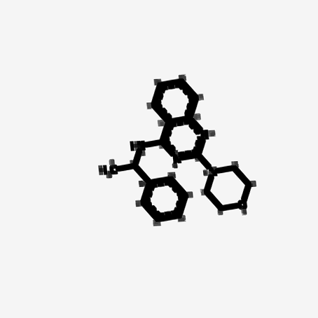 CC(Nc1nc(N2CCOCC2)nc2ccccc12)c1ccccc1